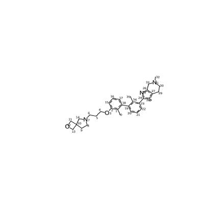 Cc1c(OCCCN2CCC3(COC3)C2)cccc1-c1cccc(-c2nc3c(s2)CCN(C)C3)c1C